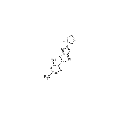 Cc1cc(C(F)(F)F)cc(O)c1-c1cnc2cn(C3(C)CCOC3)nc2n1